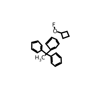 CC(c1ccccc1)(c1ccccc1)c1ccccc1.FOC1CCC1